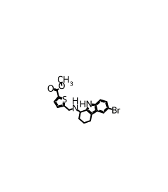 COC(=O)c1ccc(CNC2CCCc3c2[nH]c2ccc(Br)cc32)s1